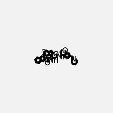 O=C(CC(NS(=O)(=O)c1ccc2ccccc2c1)c1ccc2coccc1-2)NC1CCOc2cc(CN3CCCCC3)ccc21